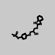 CO[SH](=O)=Nc1ccc(OCC(O)CSc2nc3ccccc3[nH]2)cc1